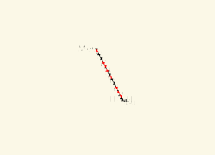 CCC(C)CNC(O)CCOCCOCCOCCOCCOCCOCCOCCOCCOCCOCCOCCOC